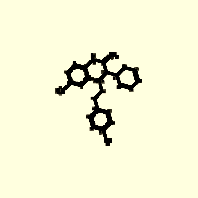 C=C(Nc1ccc(C)cn1)C(NCCc1ccc(C#N)cc1)C1C=CC=CC1